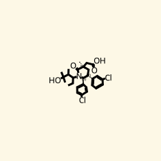 CCC(C(C)C(C)(C)O)N1C(=O)[C@@](C)(CC(=O)O)C[C@H](c2cccc(Cl)c2)[C@H]1c1ccc(Cl)cc1